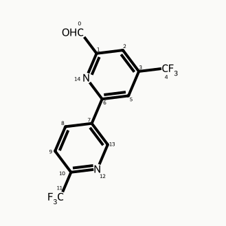 O=Cc1cc(C(F)(F)F)cc(-c2ccc(C(F)(F)F)nc2)n1